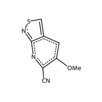 COc1cc2c(nc1C#N)=[N+]SC=2